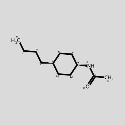 CCCC[C@H]1CC[C@@H](NC(C)=O)CC1